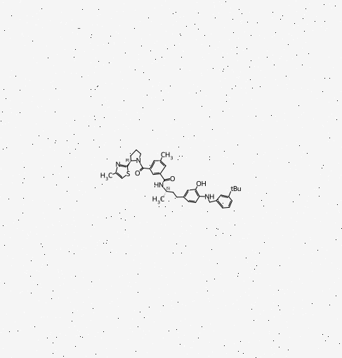 Cc1cc(C(=O)N[C@@H](C)CCc2ccc(NCc3cccc(C(C)(C)C)c3)c(O)c2)cc(C(=O)N2CCC[C@@H]2c2nc(C)cs2)c1